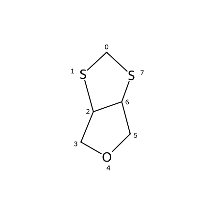 C1SC2COCC2S1